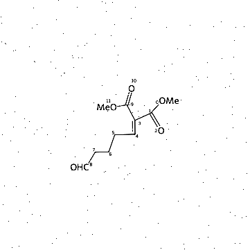 COC(=O)C(=CCCCC=O)C(=O)OC